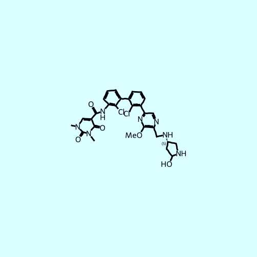 COc1nc(-c2cccc(-c3cccc(NC(=O)c4cn(C)c(=O)n(C)c4=O)c3Cl)c2Cl)cnc1CN[C@@H]1CNC(O)C1